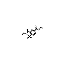 C=C(OCC)c1nc(C(=O)OCC)ccc1C(F)(F)F